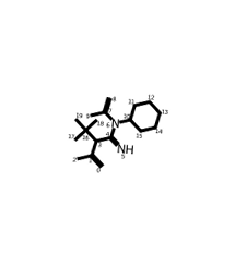 C=C(C)C(C(=N)N(C(=C)C)C1CCCCC1)C(C)(C)C